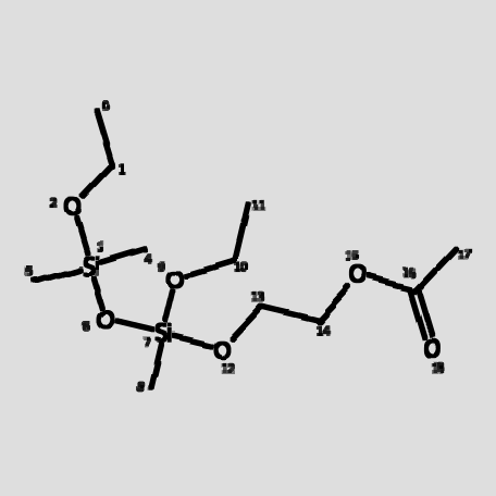 CCO[Si](C)(C)O[Si](C)(OCC)OCCOC(C)=O